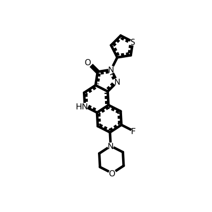 O=c1c2c[nH]c3cc(N4CCOCC4)c(F)cc3c-2nn1-c1ccsc1